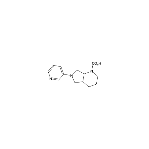 O=C(O)N1CCCC2CN(c3cccnc3)CC21